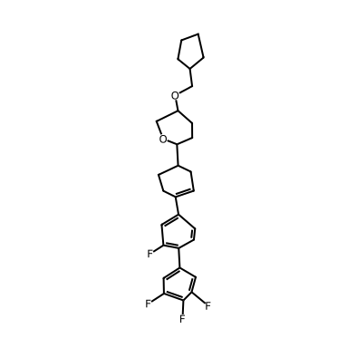 Fc1cc(C2=CCC(C3CCC(OCC4CCCC4)CO3)CC2)ccc1-c1cc(F)c(F)c(F)c1